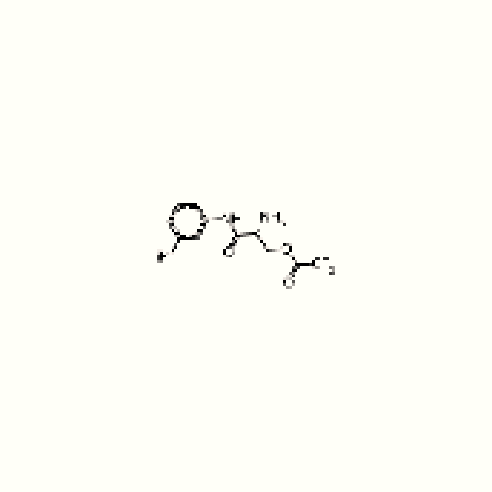 CC(C)c1cccc(NC(=O)[C@H](N)COC(=O)C(F)(F)F)c1